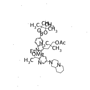 CCn1c(-c2cc(N3CCN4CCCCC4C3)cnc2[C@H](C)OC)c(CC(C)(C)COC(C)=O)c2cc(B3OC(C)(C)C(C)(C)O3)ccc21